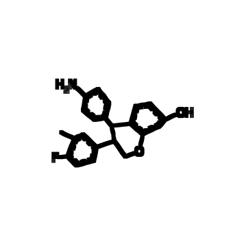 Cc1cc(C2COc3cc(O)ccc3C2c2ccc(N)cc2)ccc1F